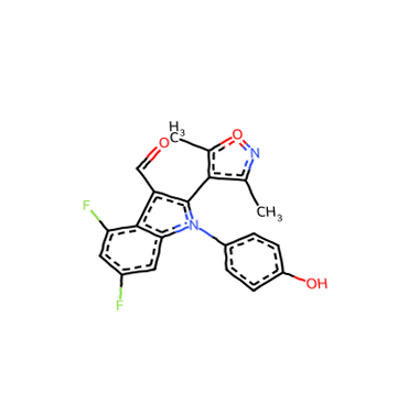 Cc1noc(C)c1-c1c(C=O)c2c(F)cc(F)cc2n1-c1ccc(O)cc1